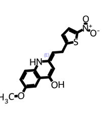 COc1ccc2c(c1)C(O)=C/C(=C\Cc1ccc([N+](=O)[O-])s1)N2